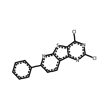 Clc1nc(Cl)c2sc3nc(-c4ccccc4)ccc3c2n1